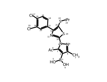 CC(=O)c1c(B(O)O)c(C)nn1-c1nc(-c2ccc(Cl)c(Cl)c2)c(SC(C)C)s1